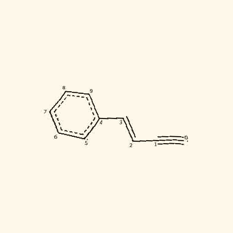 [C]#CC=Cc1[c]cccc1